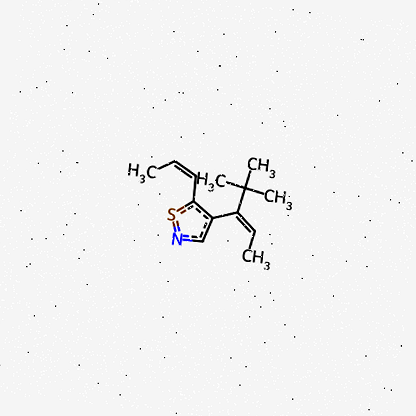 C/C=C\c1sncc1/C(=C\C)C(C)(C)C